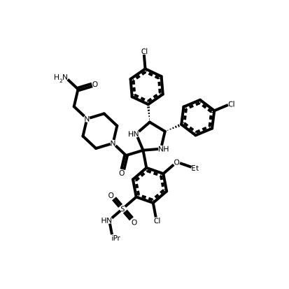 CCOc1cc(Cl)c(S(=O)(=O)NC(C)C)cc1C1(C(=O)N2CCN(CC(N)=O)CC2)N[C@H](c2ccc(Cl)cc2)[C@H](c2ccc(Cl)cc2)N1